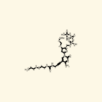 CSSCOC1C[C@H](n2cc(C#CCNC(=O)OCCSSCCN)c(N)nc2=O)O[C@@H]1COP(=O)(O)OP(=O)(O)OP(=O)(O)O